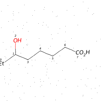 CCC(O)CCCCC(=O)O